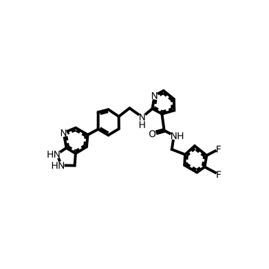 O=C(NCc1ccc(F)c(F)c1)c1cccnc1NCC1C=CC(c2cnc3c(c2)CNN3)=CC1